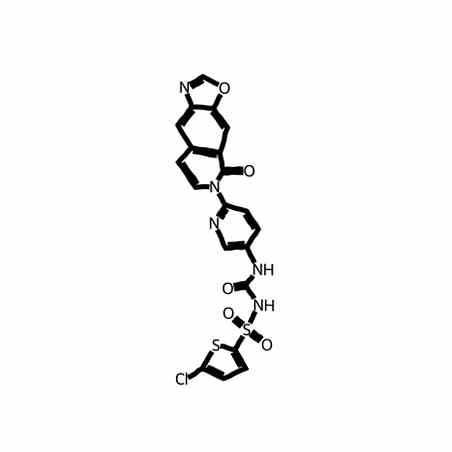 O=C(Nc1ccc(-n2ccc3cc4ncoc4cc3c2=O)nc1)NS(=O)(=O)c1ccc(Cl)s1